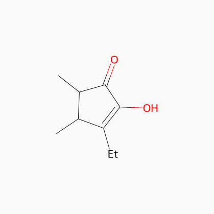 CCC1=C(O)C(=O)C(C)C1C